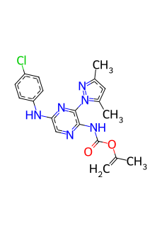 C=C(C)OC(=O)Nc1ncc(Nc2ccc(Cl)cc2)nc1-n1nc(C)cc1C